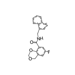 O=C(NCc1csc2ccccc12)c1cc(F)cc2c1OCOC2